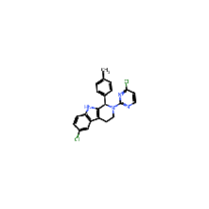 Cc1ccc(C2c3[nH]c4ccc(Cl)cc4c3CCN2c2nccc(Cl)n2)cc1